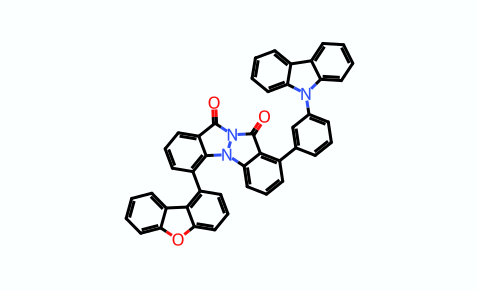 O=c1c2cccc(-c3cccc4oc5ccccc5c34)c2n2c3cccc(-c4cccc(-n5c6ccccc6c6ccccc65)c4)c3c(=O)n12